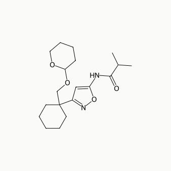 CC(C)C(=O)Nc1cc(C2(COC3CCCCO3)CCCCC2)no1